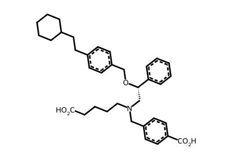 O=C(O)CCCCN(Cc1ccc(C(=O)O)cc1)C[C@H](OCc1ccc(CCC2CCCCC2)cc1)c1ccccc1